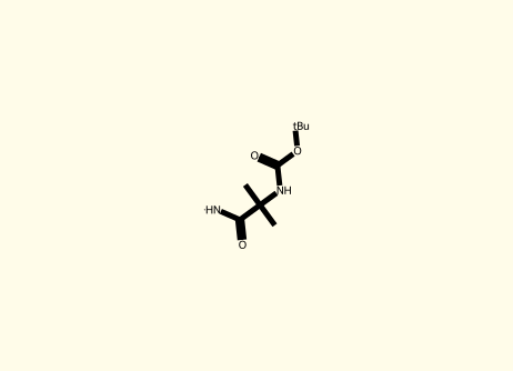 CC(C)(C)OC(=O)NC(C)(C)C([NH])=O